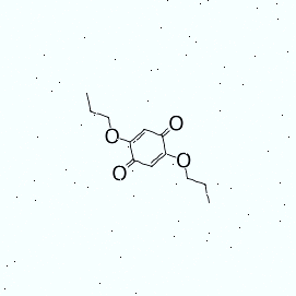 CCCOC1=CC(=O)C(OCCC)=CC1=O